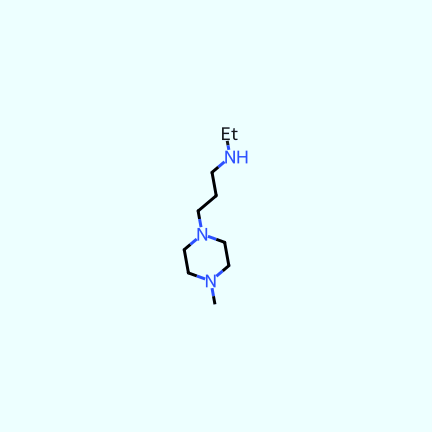 CCNCCCN1CCN(C)CC1